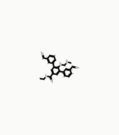 CCOC(=O)c1cc(-c2cccc(C=O)c2)c(OCOC)c(-c2cccc(C=O)c2)c1